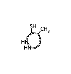 Cc1ccc[nH][nH]cc1S